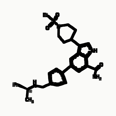 CCS(=O)(=O)N1CCC(c2c[nH]c3c(C(N)=O)cc(-c4ccc(CN[C@@H](C)C(C)C)cc4)cc23)CC1